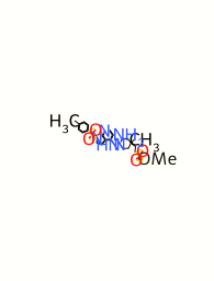 COS(=O)(=O)CCC1(C)CCN(Nc2c(N)cnc3c2ccn3S(=O)(=O)c2ccc(C)cc2)CC1